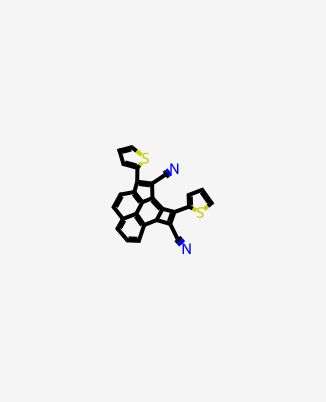 N#CC1=C(c2cccs2)c2ccc3cccc4c3c2C1=C1C(c2cccs2)=C(C#N)C14